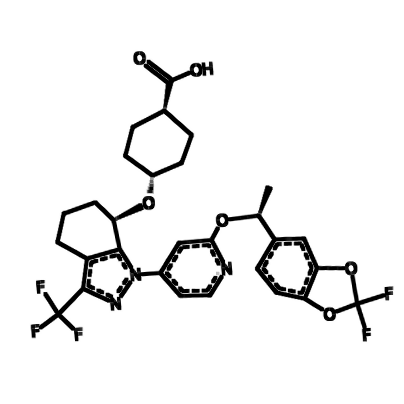 C[C@H](Oc1cc(-n2nc(C(F)(F)F)c3c2[C@H](O[C@H]2CC[C@H](C(=O)O)CC2)CCC3)ccn1)c1ccc2c(c1)OC(F)(F)O2